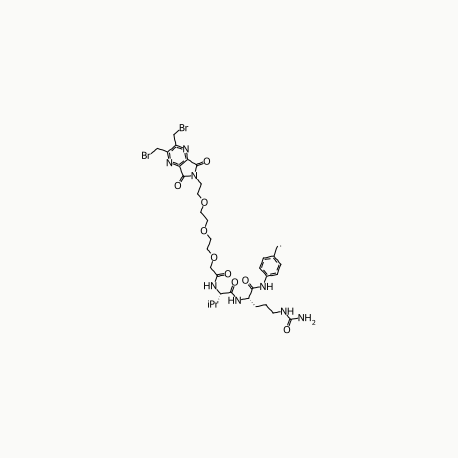 [CH2]c1ccc(NC(=O)[C@H](CCCNC(N)=O)NC(=O)[C@@H](NC(=O)COCCOCCOCCN2C(=O)c3nc(CBr)c(CBr)nc3C2=O)C(C)C)cc1